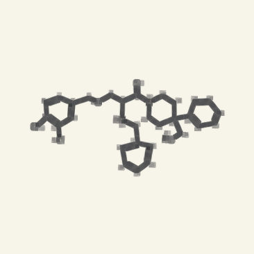 O=C(C(COCc1ccc(Cl)c(Cl)c1)NCc1ccccc1)N1CCC(CO)(c2ccccc2)CC1